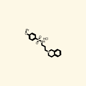 CC(C)Oc1ccc(S(=O)(=O)NCCCN2CCc3ccccc3C2)cc1.Cl